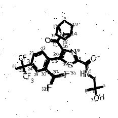 CC(C)(O)CNC(=O)c1nc(C(=O)N2C3CCC2CC3)c(-c2ccc(C(C)(C(F)(F)F)C(F)(F)F)cc2C(F)F)s1